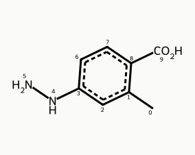 Cc1cc(NN)ccc1C(=O)O